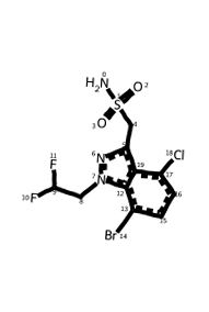 NS(=O)(=O)Cc1nn(CC(F)F)c2c(Br)ccc(Cl)c12